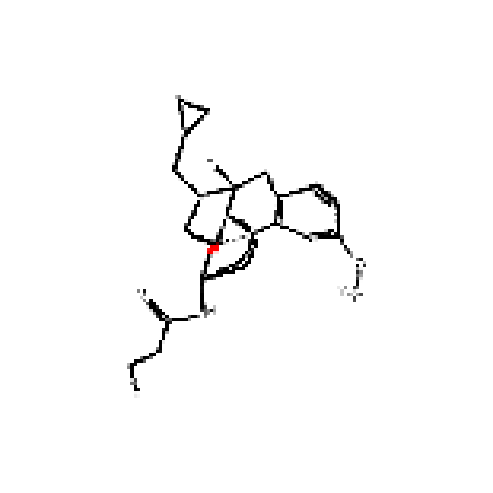 COc1ccc2c(c1)[C@]13CCN(CC4CC4)[C@H](C2)[C@]12CC[C@@](NC(=O)CCF)(CO2)C3